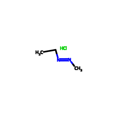 CCN=NC.Cl